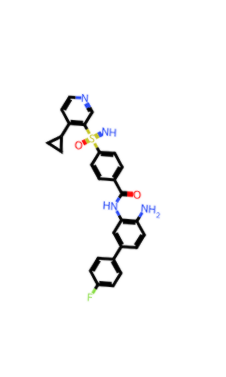 N=S(=O)(c1ccc(C(=O)Nc2cc(-c3ccc(F)cc3)ccc2N)cc1)c1cnccc1C1CC1